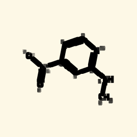 CNc1cc([N+](=O)[O-])ccn1